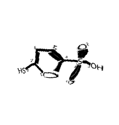 O=S(=O)(O)c1ccc(S)o1